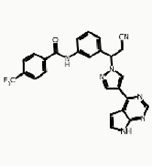 N#CCC(c1cccc(NC(=O)c2ccc(C(F)(F)F)cc2)c1)n1cc(-c2ncnc3[nH]ccc23)cn1